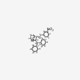 O=[N+]([O-])c1cccc(COC2C3CCN(CC3)C2C(c2ccccc2)c2ccccc2)c1